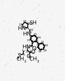 COC(=O)[C@H](CCSC)NC(=O)c1cc(NC[C@H]2NCC[C@@H]2S)ccc1-c1ccccc1